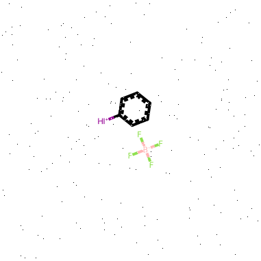 F[B-](F)(F)F.[IH+]c1ccccc1